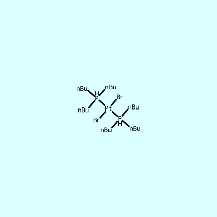 CCCC[PH](CCCC)(CCCC)[Pt]([Br])([Br])[PH](CCCC)(CCCC)CCCC